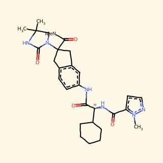 CNC(=O)C1(N2CC(C)(C)NC2=O)Cc2ccc(NC(=O)[C@@H](NC(=O)c3ccnn3C)C3CCCCC3)cc2C1